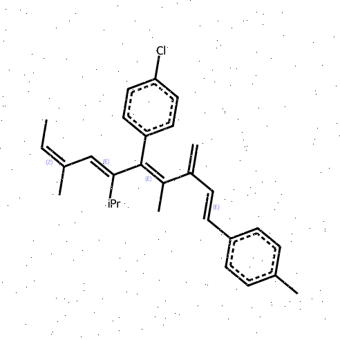 C=C(/C=C/c1ccc(C)cc1)/C(C)=C(/C(=C/C(C)=C\C)C(C)C)c1ccc(Cl)cc1